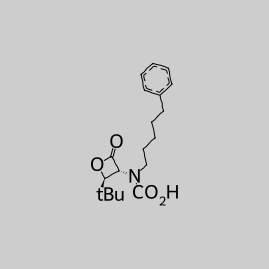 CC(C)(C)[C@H]1OC(=O)[C@@H]1N(CCCCCc1ccccc1)C(=O)O